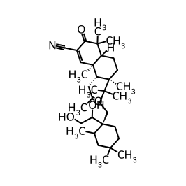 CC(=O)C[C@@H]1[C@@]2(C)C=C(C#N)C(=O)C(C)(C)[C@@H]2CC[C@@]1(C)C(C)(C)CC[C@@]1(C(O)CO)CCC(C)(C)CC1C